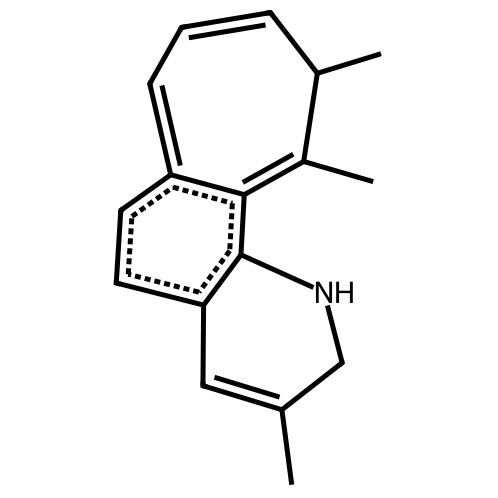 CC1=Cc2ccc3c(c2NC1)=C(C)C(C)C=CC=3